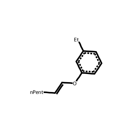 [CH2]Cc1cccc(OC=CCCCCC)c1